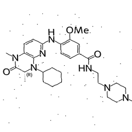 COc1cc(C(=O)NCCN2CCN(C)CC2)ccc1Nc1ccc2c(n1)N(C1CCCCC1)[C@H](C)C(=O)N2C